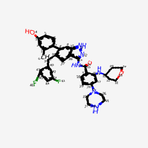 Cc1cc(O)ccc1-c1cc2[nH]nc(NC(=O)c3ccc(N4CCNCC4)cc3NC3CCOCC3)c2cc1Cc1cc(F)cc(F)c1